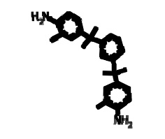 Cc1cc(C(C)(C)c2cccc(C(C)(C)c3ccc(N)c(C)c3)c2)ccc1N